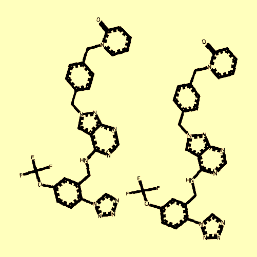 O=c1ccccn1Cc1ccc(Cn2cc3c(NCc4cc(OC(F)(F)F)ccc4-n4cnnn4)ncnc3n2)cc1.O=c1ccccn1Cc1ccc(Cn2cc3c(NCc4cc(OC(F)(F)F)ccc4-n4cnnn4)ncnc3n2)cc1